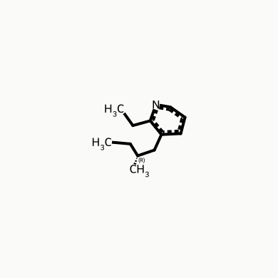 CCc1ncccc1C[C@H](C)CC